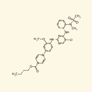 CCCCOC(=O)N1C=CN(c2ccc(Nc3ncc(Cl)c(Nc4ccccc4N(C)S(C)(=O)=O)n3)c(OC)c2)C=C1